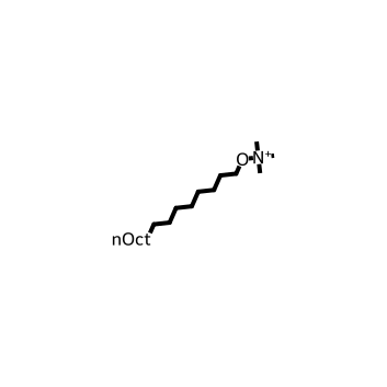 CCCCCCCCCCCCCCCCO[N+](C)(C)C